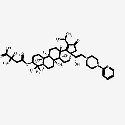 CC(C)C1=C2[C@H]3CC[C@@H]4[C@@]5(C)CC[C@H](OC(=O)CC(C)(C)C(=O)O)C(C)(C)[C@@H]5CC[C@@]4(C)[C@]3(C)CC[C@@]2([C@@H](O)CN2CCN(c3ccccn3)CC2)CC1=O